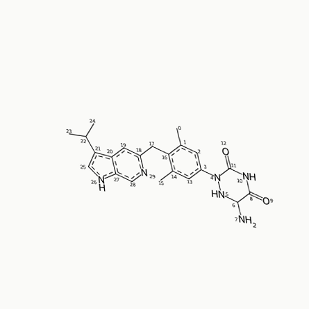 Cc1cc(N2NC(N)C(=O)NC2=O)cc(C)c1Cc1cc2c(C(C)C)c[nH]c2cn1